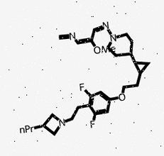 C=N/C=C(\C=N/N1CCC(C2CC2CCOc2cc(F)c(CCN3CC(CCC)C3)c(F)c2)CC1)OC